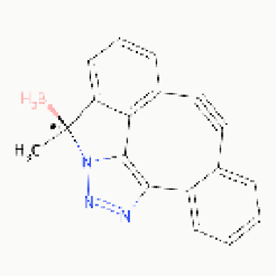 B[C@@]1(C)c2cccc3c2-c2c(nnn21)-c1ccccc1C#C3